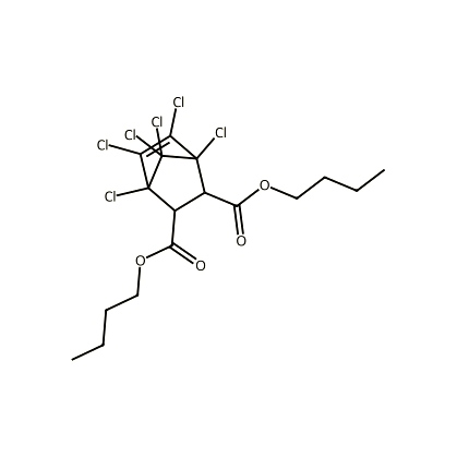 CCCCOC(=O)C1C(C(=O)OCCCC)C2(Cl)C(Cl)=C(Cl)C1(Cl)C2(Cl)Cl